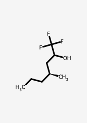 CCC[C@H](C)CC(O)C(F)(F)F